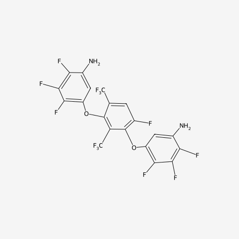 Nc1cc(Oc2c(F)cc(C(F)(F)F)c(Oc3cc(N)c(F)c(F)c3F)c2C(F)(F)F)c(F)c(F)c1F